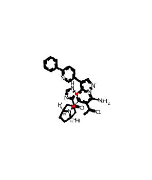 CC(=O)c1c([C@@H]2C[C@H]3CC[C@@H](C2)N3C(=O)c2nc[nH]n2)nc2c(-c3ccc(-c4ccccc4)nc3)cnn2c1N